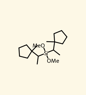 CO[Si](OC)(C(C)C1(C)CCCC1)C(C)C1(C)CCCC1